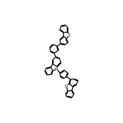 c1cc(-c2ccc3sc4ccccc4c3c2)cc(-c2ccc3c(c2)c2ccccc2n3-c2ccc(-c3cccc4c3oc3ccccc34)cc2)c1